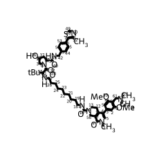 COc1cc(-c2cn(C)c(=O)c3c2CCN(C(=O)NCCCCCCCCCC(=O)NC(C(=O)N2C[C@H](O)C[C@H]2C(=O)NCc2ccc(-c4scnc4C)cc2)C(C)(C)C)C3)cc(OC)c1CN(C)C